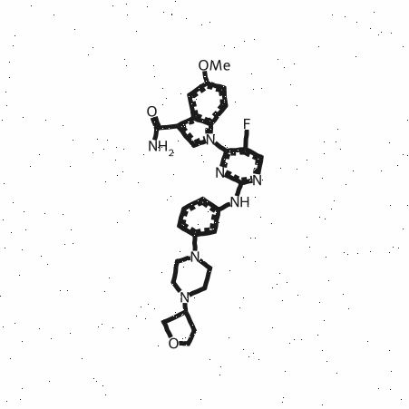 COc1ccc2c(c1)c(C(N)=O)cn2-c1nc(Nc2cccc(N3CCN(C4CCOC4)CC3)c2)ncc1F